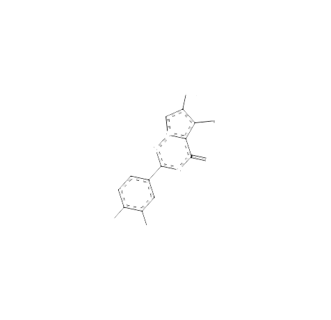 CC(C)c1c(C(=O)O)cn2nc(-c3ccc(F)c(Cl)c3)[nH]c(=O)c12